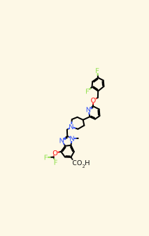 Cn1c(CN2CCC(c3cccc(OCc4ccc(F)cc4F)n3)CC2)nc2c(OC(F)F)cc(C(=O)O)cc21